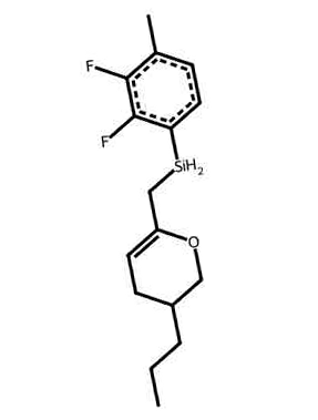 CCCC1CC=C(C[SiH2]c2ccc(C)c(F)c2F)OC1